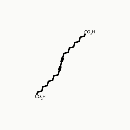 O=C(O)CCCCCCCCC#CC#CCCCCCCCCC(=O)O